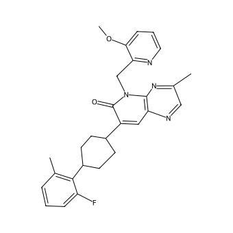 COc1cccnc1Cn1c(=O)c(C2CCC(c3c(C)cccc3F)CC2)cc2ncc(C)nc21